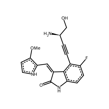 COc1cc[nH]c1/C=C1\C(=O)Nc2ccc(F)c(C#C[C@@H](N)CO)c21